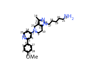 COc1ccc(-c2cc(N3CCc4c(c(C)nn4CCCCCN)C3)ccn2)cc1